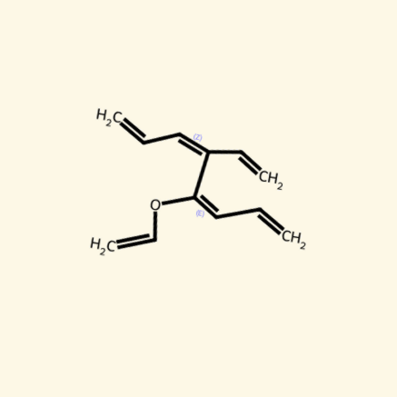 C=C/C=C(C=C)\C(=C/C=C)OC=C